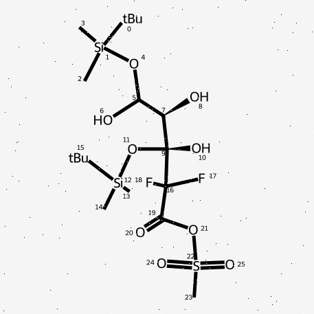 CC(C)(C)[Si](C)(C)OC(O)[C@@H](O)[C@@](O)(O[Si](C)(C)C(C)(C)C)C(F)(F)C(=O)OS(C)(=O)=O